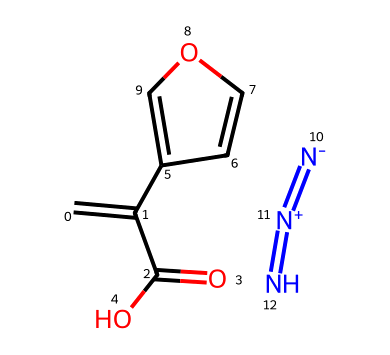 C=C(C(=O)O)c1ccoc1.[N-]=[N+]=N